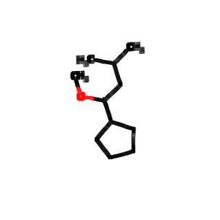 CO[C](CC(C)C)C1CCCC1